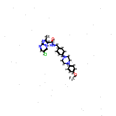 CCc1nc2ncc(Cl)cn2c1C(=O)NCc1ccc(N2CCN(c3ccc(OC(F)(F)F)cc3)CC2)cc1